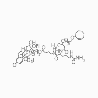 CC(C)[C@H](CC(=O)COC1C#CCCCCC1)C(=O)N[C@@H](CCCNC(N)=O)C(=O)NCCCC(=O)OCC(=O)[C@@]1(O)[C@H](C)C[C@H]2[C@@H]3CCC4=CC(=O)C=C[C@]4(C)[C@@]3(F)[C@@H](O)C[C@@]21C